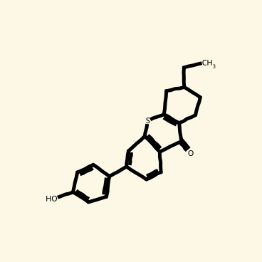 CCC1CCc2c(sc3cc(-c4ccc(O)cc4)ccc3c2=O)C1